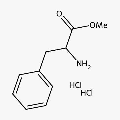 COC(=O)C(N)Cc1ccccc1.Cl.Cl